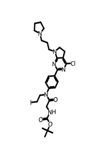 CC(C)(C)OC(=O)NCC(=O)N(CCI)c1ccc(-c2nc(Cl)c3c(n2)N(CCCN2CCCC2)CC3)cc1